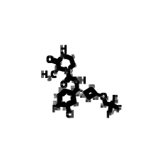 C[C@@H]1C(=O)NCCN1C(=O)NC(c1ccc(F)c(Cl)c1)[C@H]1C[C@H](OCC(F)(F)F)C1